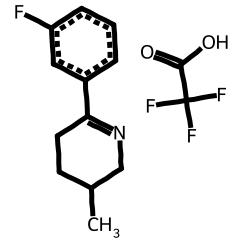 CC1CCC(c2cccc(F)c2)=NC1.O=C(O)C(F)(F)F